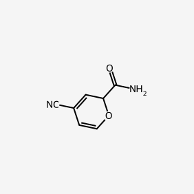 N#CC1=CC(C(N)=O)OC=C1